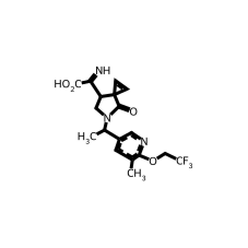 Cc1cc(C(C)N2CC(C(=N)C(=O)O)C3(C=C3)C2=O)cnc1OCC(F)(F)F